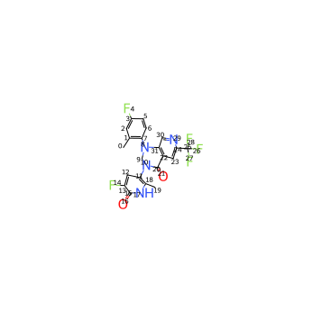 Cc1cc(F)ccc1N1CN(c2cc(F)c(=O)[nH]c2C)C(=O)c2cc(C(F)(F)F)ncc21